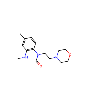 CNc1cc(C)ccc1N(C=O)CCN1CCOCC1